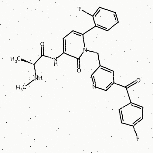 CN[C@@H](C)C(=O)Nc1ccc(-c2ccccc2F)n(Cc2cncc(C(=O)c3ccc(F)cc3)c2)c1=O